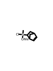 CO[Si](C)(Cl)C1CC2C=CC1C2